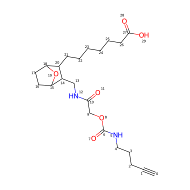 C#CCCCNC(=O)OCC(=O)NCC1C2CCC(O2)C1CCCCCCC(=O)O